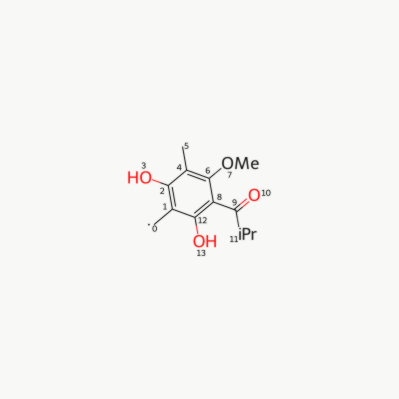 [CH2]c1c(O)c(C)c(OC)c(C(=O)C(C)C)c1O